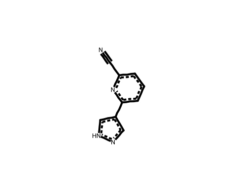 N#Cc1cccc(-c2cn[nH]c2)n1